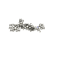 CC(C)(/C=C/C[C@](C)(O)[C@H]1CC[C@]2(C)[C@@H]1[C@H](O)C[C@@H]1[C@@]3(C)CC[C@H](O[C@@H]4O[C@H](CO)[C@@H](O)[C@H](O)[C@H]4O[C@@H]4O[C@H](CO)[C@@H](O)[C@H](O)[C@H]4O)C(C)(C)[C@@H]3CC[C@]12C)OO